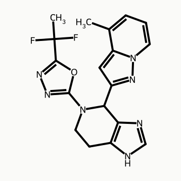 Cc1cccn2nc(C3c4nc[nH]c4CCN3c3nnc(C(C)(F)F)o3)cc12